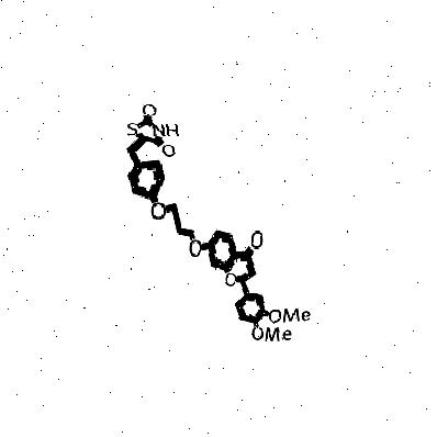 COc1ccc(-c2cc(=O)c3ccc(OCCCOc4ccc(C=C5SC(=O)NC5=O)cc4)cc3o2)cc1OC